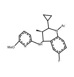 COc1cccc(NC2c3cc(F)ccc3N(C(C)=O)C(C3CC3)[C@@H]2C)n1